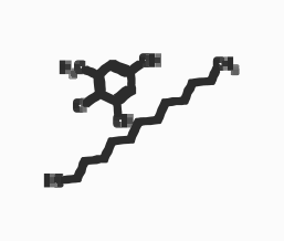 CCCCCCCCCCCCS.Cc1cc(O)cc(C)c1Cl